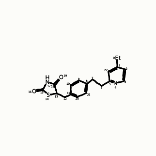 CCc1ccnc(CCc2ccc(CC3SC(=O)NC3=O)cc2)c1